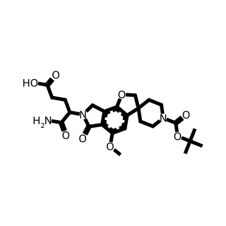 COc1cc2c(c3c1C(=O)N(C(CCC(=O)O)C(N)=O)C3)OCC21CCN(C(=O)OC(C)(C)C)CC1